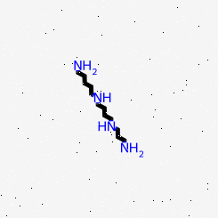 NCCCCCNCCCCNCCCN